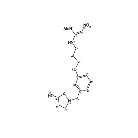 CNC(=C[N+](=O)[O-])NCCCOc1cccc(CN2CCC(O)C2)c1